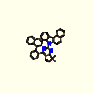 CC1(C)C=Cc2c(-c3ccccc3-c3cccc4ccccc34)nc(-n3c4ccccc4c4c5ccccc5ccc43)nc21